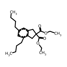 CCCCc1cc(CCCC)c2c(c1)CC(C(=O)OCC)(C(=O)OCC)C2